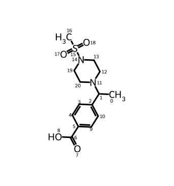 CC(c1ccc(C(=O)O)cc1)N1CCN(S(C)(=O)=O)CC1